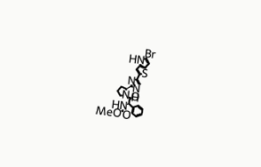 COC(=O)N[C@@H](C(=O)N1CCC[C@H]1c1nc(-c2cc3[nH]c(Br)cc3s2)c[nH]1)c1ccccc1